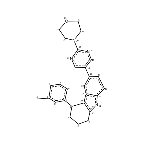 Cc1cccc(C2CCCc3nc4ccc(-c5cnc(N6CCOCC6)nc5)cn4c32)c1